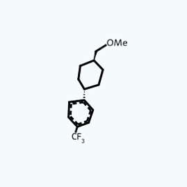 COC[C@H]1CC[C@H](c2ccc(C(F)(F)F)cc2)CC1